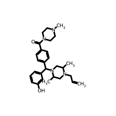 C=CCN1CC(C)N(C(c2ccc(C(=O)N3CCN(C)CC3)cc2)c2cccc(O)c2)CC1C